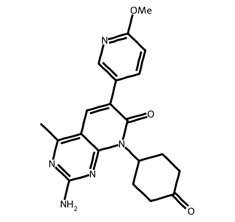 COc1ccc(-c2cc3c(C)nc(N)nc3n(C3CCC(=O)CC3)c2=O)cn1